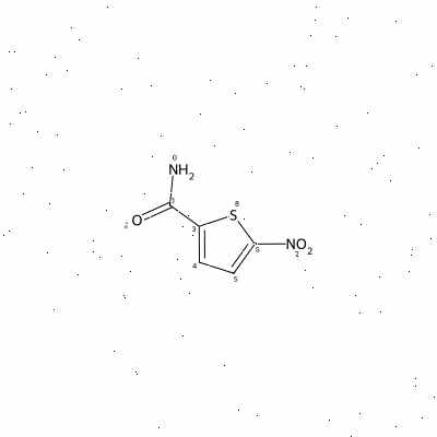 NC(=O)c1ccc([N+](=O)[O-])s1